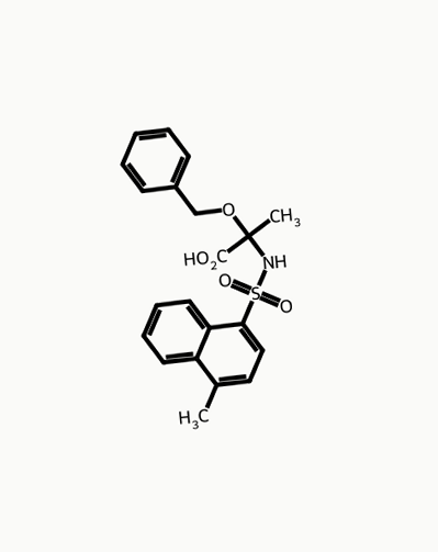 Cc1ccc(S(=O)(=O)NC(C)(OCc2ccccc2)C(=O)O)c2ccccc12